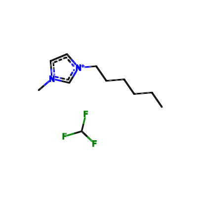 CCCCCC[n+]1ccn(C)c1.FC(F)F